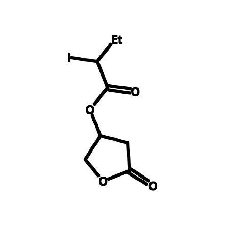 CCC(I)C(=O)OC1COC(=O)C1